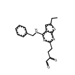 CCc1cc2c(NCc3ccccc3)nc(CCC(=O)C=O)nc2s1